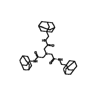 O=C(CN(CC(=O)NCC12CC3CC(CC(C3)C1)C2)CC(=O)NC12CC3CC(CC(C3)C1)C2)NCC12CC3CC(CC(C3)C1)C2